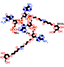 CCC(C)OP(=O)(O)OC[C@H]1O[C@@H](n2cnc3c(=O)[nH]c(N)nc32)C[C@@H]1OP(=O)(O)OC[C@H]1O[C@@H](n2cnc3c(N)ncnc32)[C@H](OCOCCOCCNC(=O)CCCCO[C@@H]2O[C@H](CO)[C@H](O)[C@H](O)[C@H]2NC(C)=O)[C@@H]1OP(=O)(O)OC[C@H]1O[C@@H](n2cnc3c(N)ncnc32)C[C@@H]1OP(=O)(O)OC[C@H]1O[C@@H](n2cnc3c(N)ncnc32)[C@H](OCOCCOCCNC(=O)CCCCO[C@H]2C[C@@H](O)[C@@H](O)[C@@H](CO)O2)[C@@H]1OC(C)C